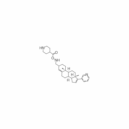 C[C@]12CCC(CNOC(=O)C3CCNCC3)C=C1CC[C@H]1[C@@H]2CC[C@]2(C)C(c3cccnc3)=CC[C@@H]12